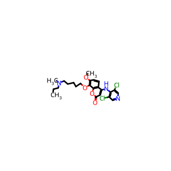 CCCN(C)CCCCCOc1c(OC)ccc2c(Nc3c(Cl)cncc3Cl)cc(=O)oc12